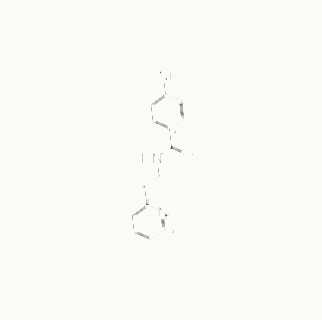 Nc1ccc(C(=O)NCCc2ccccn2)cc1